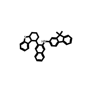 CC1(C)c2ccccc2-c2ccc(Nc3cc4ccccc4cc3C3CCCC4Sc5ccccc5C43)cc21